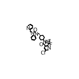 O=C(N[C@H]1CC[C@H](Cn2c(=O)n(Cc3ccccn3)c3ccccc32)CC1)c1cc(Cl)cnc1C(F)(F)F